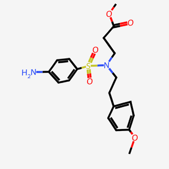 COC(=O)CCN(CCc1ccc(OC)cc1)S(=O)(=O)c1ccc(N)cc1